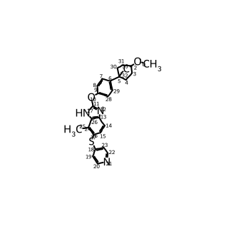 COC12CCC(c3ccc(Oc4nc5ccc(Sc6ccncc6)c(C)c5[nH]4)cc3)(CC1)CC2